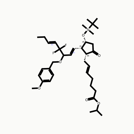 CC/C=C/C(F)(F)C(/C=C/[C@@H]1[C@H](O[Si](C)(C)C(C)(C)C)CC(=O)[C@@H]1CC=CCCCC(=O)OC(C)C)OCc1ccc(OC)cc1